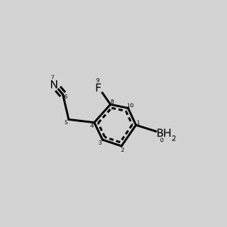 Bc1ccc(CC#N)c(F)c1